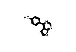 Oc1ccc(-c2ncnc3sccc23)cc1